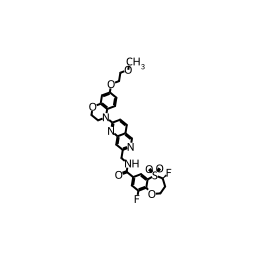 COCCOc1ccc2c(c1)OCCN2c1ccc2cnc(CNC(=O)c3cc(F)c4c(c3)S(=O)(=O)[C@@H](F)CCO4)cc2n1